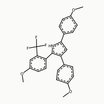 COc1ccc(-c2cc(-c3ccc(OC)cc3)c(-c3ccc(OC)cc3C(F)(F)F)[nH]2)cc1